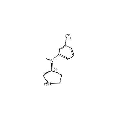 CN(c1cccc(C(F)(F)F)c1)[C@H]1CCNC1